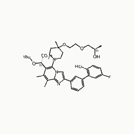 Cc1c([C@H](OC(C)(C)C)C(=O)O)c(N2CCC(C)(OCCOC[C@@H](C)O)CC2)n2cc(-c3cccc(-c4cc(F)ccc4O)c3)nc2c1C